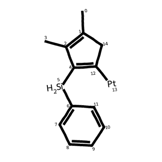 CC1=C(C)C([SiH2]c2ccccc2)=[C]([Pt])C1